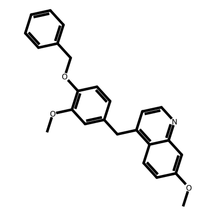 COc1ccc2c(Cc3ccc(OCc4ccccc4)c(OC)c3)ccnc2c1